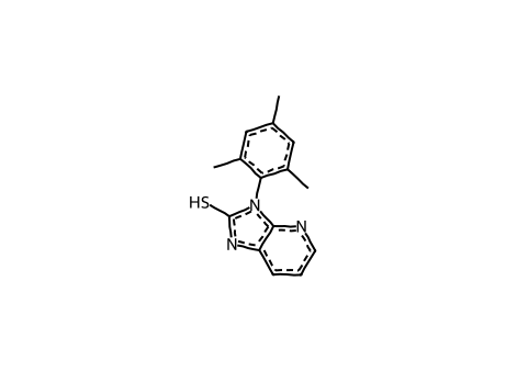 Cc1cc(C)c(-n2c(S)nc3cccnc32)c(C)c1